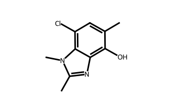 Cc1cc(Cl)c2c(nc(C)n2C)c1O